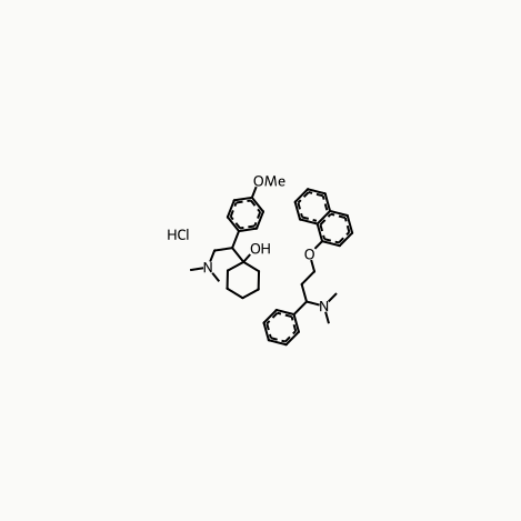 CN(C)C(CCOc1cccc2ccccc12)c1ccccc1.COc1ccc(C(CN(C)C)C2(O)CCCCC2)cc1.Cl